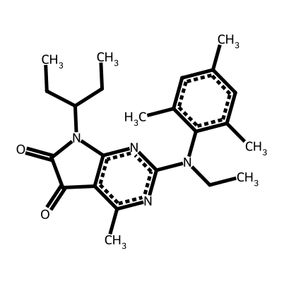 CCC(CC)N1C(=O)C(=O)c2c(C)nc(N(CC)c3c(C)cc(C)cc3C)nc21